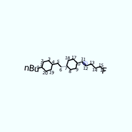 CCCCC1CCC(CC[C@H]2CC[C@H](/C=C/CCCF)CC2)CC1